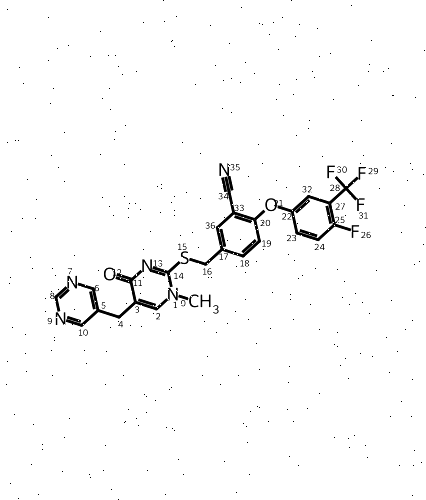 Cn1cc(Cc2cncnc2)c(=O)nc1SCc1ccc(Oc2ccc(F)c(C(F)(F)F)c2)c(C#N)c1